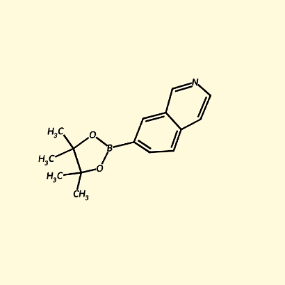 CC1(C)OB(c2ccc3ccncc3c2)OC1(C)C